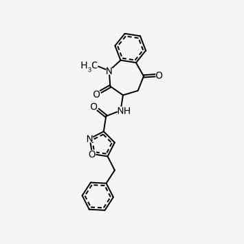 CN1C(=O)C(NC(=O)c2cc(Cc3ccccc3)on2)CC(=O)c2ccccc21